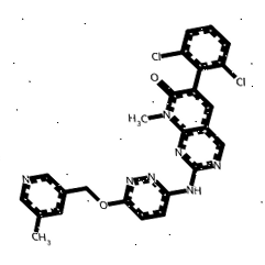 Cc1cncc(COc2ccc(Nc3ncc4cc(-c5c(Cl)cccc5Cl)c(=O)n(C)c4n3)nn2)c1